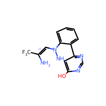 N/C(=C\N(N)c1ccccc1-c1cc(O)ncn1)C(F)(F)F